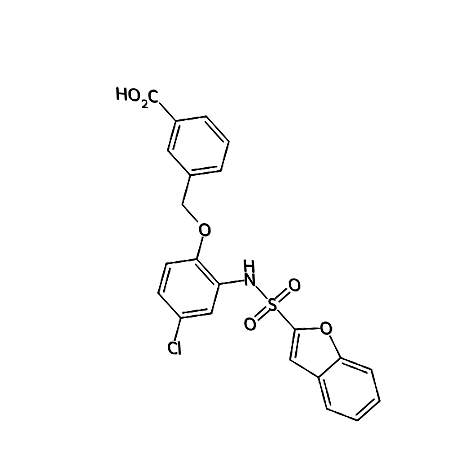 O=C(O)c1cccc(COc2ccc(Cl)cc2NS(=O)(=O)c2cc3ccccc3o2)c1